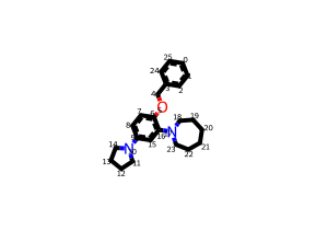 c1ccc(COc2ccc(N3CCCC3)cc2N2CCCCCC2)cc1